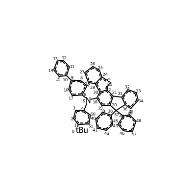 CC(C)(C)c1ccc(N(c2ccc(-c3ccccc3)cc2)c2cc3c(c4sc5ccccc5c24)-c2ccccc2C3(c2ccccc2)c2ccccc2)cc1